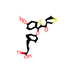 O=C(O)/C=C/c1ccc(Oc2c(C(=O)c3ccsc3)sc3cc(O)ccc23)cc1